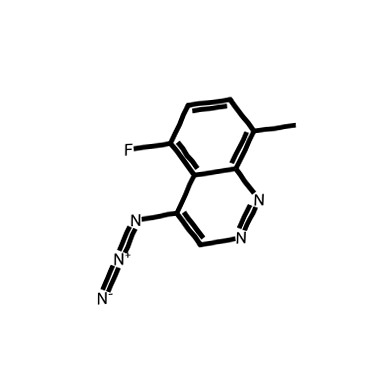 Cc1ccc(F)c2c(N=[N+]=[N-])cnnc12